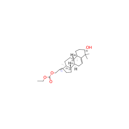 CCOC(=O)OC/C=C1\CC[C@H]2[C@@H]3CC=C4C(C)(C)[C@@H](O)CC[C@]4(C)[C@H]3CC[C@]12C